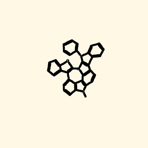 Cn1c2cccc3c2c2c1ccc1c4c5ccccc5n(-c5ccccc5)c4n(c4oc5ccccc5c34)c12